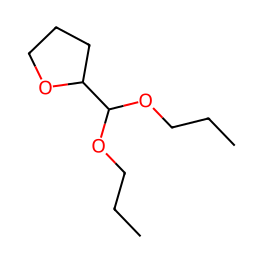 CCCOC(OCCC)C1CCCO1